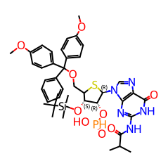 COc1ccc(C(OCC2S[C@@H](n3cnc4c(=O)[nH]c(NC(=O)C(C)C)nc43)[C@H](O[PH](=O)O)[C@@H]2O[Si](C)(C)C(C)(C)C)(c2ccccc2)c2ccc(OC)cc2)cc1